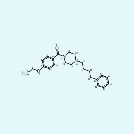 CCOc1ccc(C(=O)N2CCN(CCCCc3ccccc3)CC2)cc1